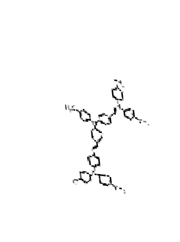 Cc1ccc(N(C=Cc2ccc(N(c3ccc(C)cc3)c3ccc(C=Cc4ccc(N(c5ccc(C)cc5)c5ccc(C)cc5)cc4)cc3)cc2)c2ccc(C)cc2)cc1